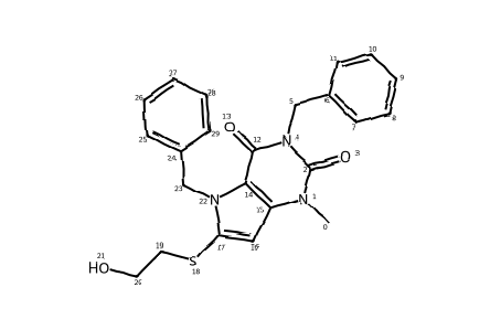 Cn1c(=O)n(Cc2ccccc2)c(=O)c2c1cc(SCCO)n2Cc1ccccc1